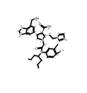 CCCC(CCC)N(C(=O)CN1C[C@H](c2cc(CO)c3c(c2)OCO3)[C@@H](C(=O)O)[C@@H]1CCn1ccnc1)c1ccc(F)c(C)c1